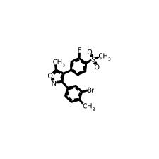 Cc1ccc(-c2noc(C)c2-c2ccc(S(C)(=O)=O)c(F)c2)cc1Br